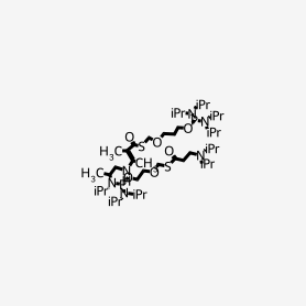 C/C(NCC(C)N(C(C)C)P(OCCOCSC(=O)CCN(C(C)C)C(C)C)N(C(C)C)C(C)C)=C(/C)C(=O)SCOCCCOP(N(C(C)C)C(C)C)N(C(C)C)C(C)C